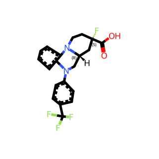 O=C(O)[C@]1(F)CCN2c3ccccc3N(c3ccc(C(F)(F)F)cc3)C[C@H]2C1